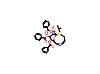 CC(C)(C)[S@@+]([O-])NC12OC(CCC=CCCS1)C(OC(=O)c1ccccc1)C(OC(=O)c1ccccc1)C2OC(=O)c1ccccc1